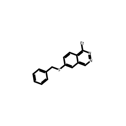 CCc1nncc2cc(SCc3ccccc3)ccc12